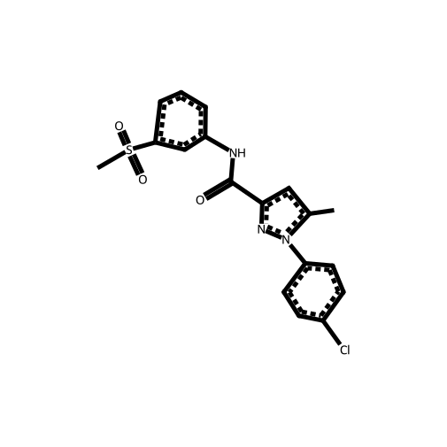 Cc1cc(C(=O)Nc2cccc(S(C)(=O)=O)c2)nn1-c1ccc(Cl)cc1